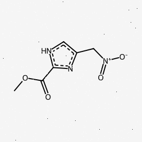 COC(=O)c1nc(C[N+](=O)[O-])c[nH]1